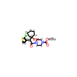 CC(C)(C)OC(=O)N1CCN(C(=O)C(c2ccsc2Cl)C2(O)CCCCC2)CC1